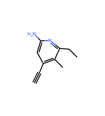 C#Cc1cc(N)nc(CC)c1C